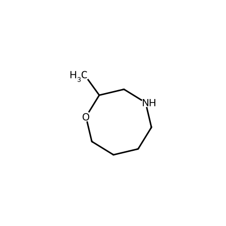 CC1CNCCCCO1